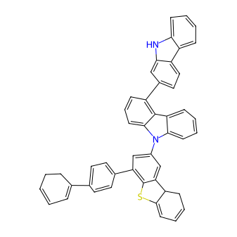 C1=CCCC(c2ccc(-c3cc(-n4c5ccccc5c5c(-c6ccc7c(c6)[nH]c6ccccc67)cccc54)cc4c3SC3=CC=CCC34)cc2)=C1